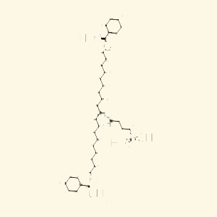 C=C(OCCCCCCCCCC(CCCCCCCCCOC(=C)C1CCCCC1)OC(=O)CCCN(C)C)C1CCCCC1